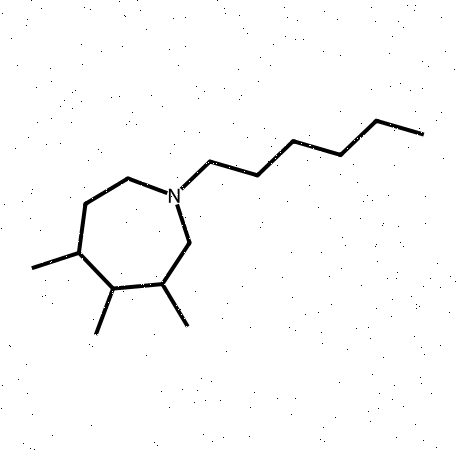 CCCCCCN1CCC(C)C(C)C(C)C1